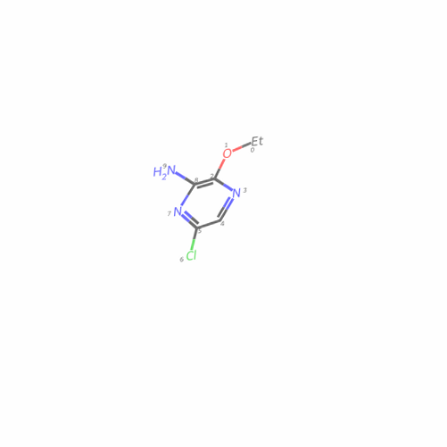 CCOc1ncc(Cl)nc1N